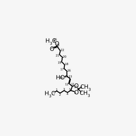 CCCCCC1OC(C)(C)OC1/C=C/C(O)CCCCCCCC(=O)OC